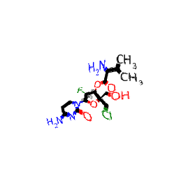 CC(C)C(N)C(=O)O[C@H]1[C@@H](F)[C@H](n2ccc(N)nc2=O)O[C@@]1(CO)CCl